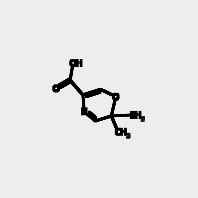 BC1(C)C=NC(C(=O)O)=CO1